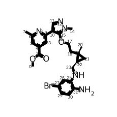 COC(=O)c1cc(C)nc(-c2cnn(C)c2OCC[C@]2(C)C[C@H]2CNc2cc(Br)ccc2N)c1